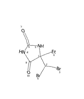 CCC1(C(Br)Br)NC(=O)NC1=O